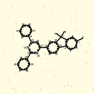 Cc1ccc2c(c1)C(C)(C)c1cc(-c3cc(-c4ccccc4)nc(-c4ccccc4)n3)ccc1-2